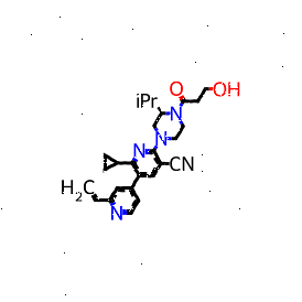 C=Cc1cc(-c2cc(C#N)c(N3CCN(C(=O)CCO)[C@H](C(C)C)C3)nc2C2CC2)ccn1